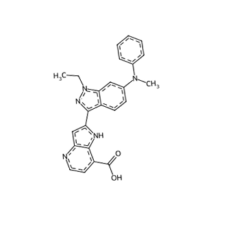 CCn1nc(-c2cc3nccc(C(=O)O)c3[nH]2)c2ccc(N(C)c3ccccc3)cc21